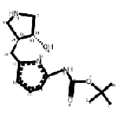 CC(C)(C)OC(=O)Nc1cccc(C[C@H]2CNC[C@@H]2O)n1